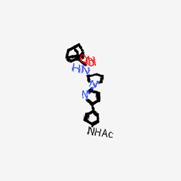 CC(=O)Nc1ccc(-c2ccc(N3CCC[C@H](NC(=O)C45CC6CC(C4)C(O)C(C6)C5)C3)nc2)cc1